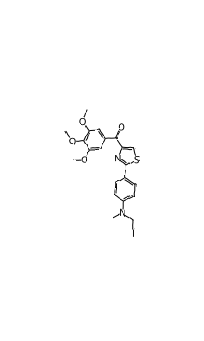 COc1cc(C(=O)c2csc(-c3ccc(N(C)CI)cc3)n2)cc(OC)c1OC